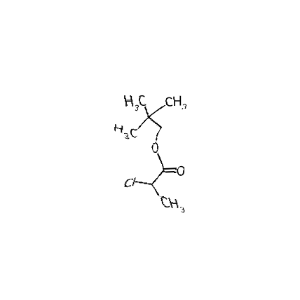 CC(Cl)C(=O)OCC(C)(C)C